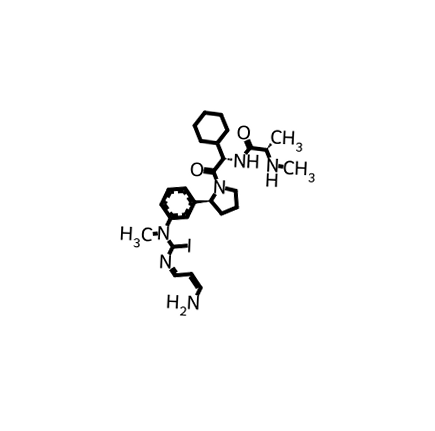 CN[C@@H](C)C(=O)N[C@H](C(=O)N1CCC[C@H]1c1cccc(N(C)C(I)/N=C\C=C/N)c1)C1CCCCC1